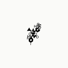 Cc1c(Nc2ccc(I)cc2F)c2c(=O)n(C3CC3)c(C)c(-c3ccnc(NS(C)(=O)=O)c3)c2oc1=O